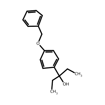 CCC(O)(CC)c1ccc(OCc2ccccc2)cc1